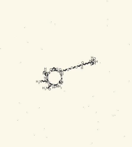 NCCCC[C@@H]1NC(=O)[C@H](CCC(N)=O)NC(=O)[C@@H](N)Cc2cn(nn2)CCCC[C@@H](C(=O)NCCCOCCOCCOCCCNC(=O)CCCCC2SC[C@H]3NC(=O)N[C@@H]23)NC(=O)C2CCCN2C(=O)CNC(=O)[C@H](Cc2c[nH]cn2)NC1=O